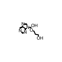 OCCCOC(O)n1cnc2cncnc21